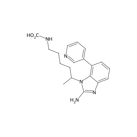 CC(CCCCNC(=O)O)n1c(N)nc2cccc(-c3cccnc3)c21